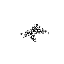 C[C@H](O)c1nc(Cn2nc(-c3ccc(Cl)cc3)n(C[C@H](O)C(F)(F)F)c2=O)nn1-c1ccc(OC(F)(F)F)cc1Cl